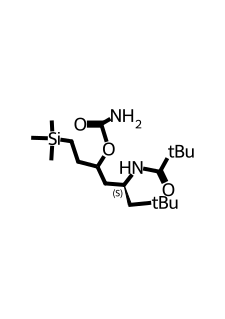 CC(C)(C)C[C@@H](CC(CC[Si](C)(C)C)OC(N)=O)NC(=O)C(C)(C)C